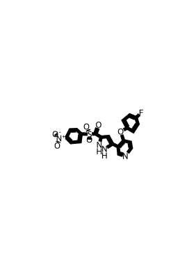 O=C(C1C=C(c2cnccc2Oc2ccc(F)cc2)NN1)S(=O)(=O)c1ccc([N+](=O)[O-])cc1